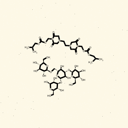 CC(C)COC(=O)OCN1C(=O)CN(CCN2CC(=O)N(COC(=O)OCC(C)C)C(=O)C2)CC1=O.OC[C@H]1O[C@@H](OC[C@H]2O[C@@H](O[C@@H]3[C@@H](O)[C@H](O)O[C@H](CO)[C@H]3O)[C@H](O)[C@@H](O[C@@H]3O[C@H](CO)[C@@H](O)[C@H](O)[C@H]3O)[C@@H]2O)[C@H](O)[C@@H](O)[C@@H]1O